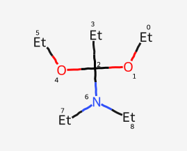 CCOC(CC)(OCC)N(CC)CC